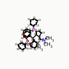 COCC(C1=C(P(c2ccccc2)c2ccccc2)C=CC1[C@@H](C)N(C)C)c1ccccc1P(c1ccccc1)c1ccccc1